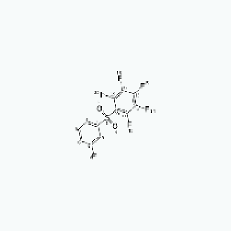 O=S(=O)(c1cccc(F)c1)c1c(F)c(F)c(F)c(F)c1F